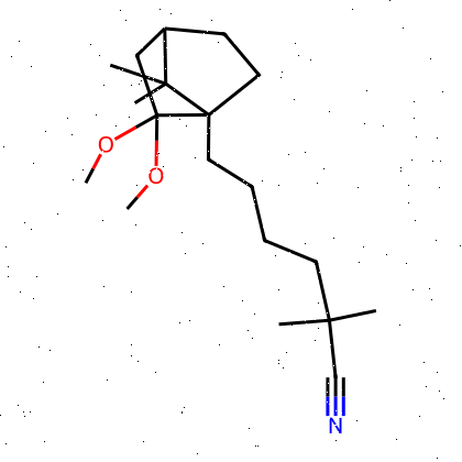 COC1(OC)CC2CCC1(CCCCC(C)(C)C#N)C2(C)C